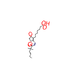 CCCCC(C)(C)C(=O)/C=C\C1=C(CCCCCCC(=O)O)C(=O)CC1